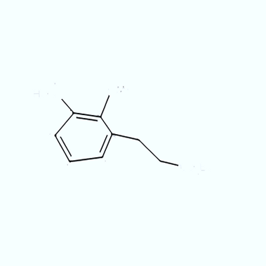 CCOC(=O)CCc1cccc(C(=O)O)c1OC